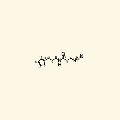 [N-]=[N+]=NCCC(=O)NCCCC1=CC=CC1